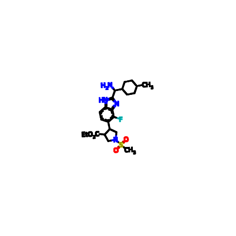 CCOC(=O)C1CN(S(C)(=O)=O)CC1c1ccc2[nH]c([C@@H](N)C3CCC(C)CC3)nc2c1F